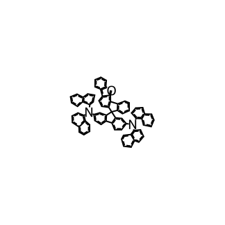 c1ccc2c(c1)-c1c(ccc3c1oc1ccccc13)C21c2cc(N(c3cccc4ccccc34)c3cccc4ccccc34)ccc2-c2ccc(N(c3cccc4ccccc34)c3cccc4ccccc34)cc21